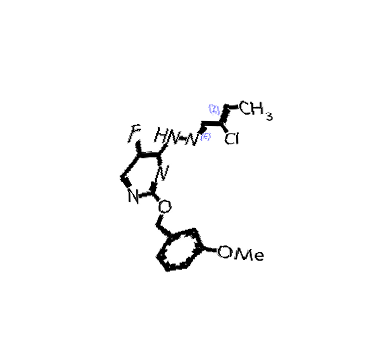 C/C=C(Cl)/C=N/NC1N=C(OCc2cccc(OC)c2)N=CC1F